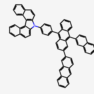 c1ccc2cc(-c3c4ccccc4c(-c4ccc(-n5c6ccc7ccccc7c6c6c7ccccc7ccc65)cc4)c4ccc(-c5ccc6cc7ccccc7cc6c5)cc34)ccc2c1